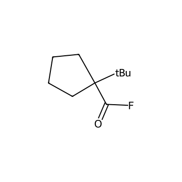 CC(C)(C)C1(C(=O)F)CCCC1